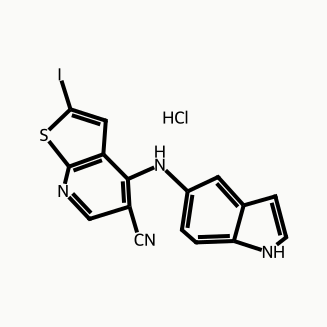 Cl.N#Cc1cnc2sc(I)cc2c1Nc1ccc2[nH]ccc2c1